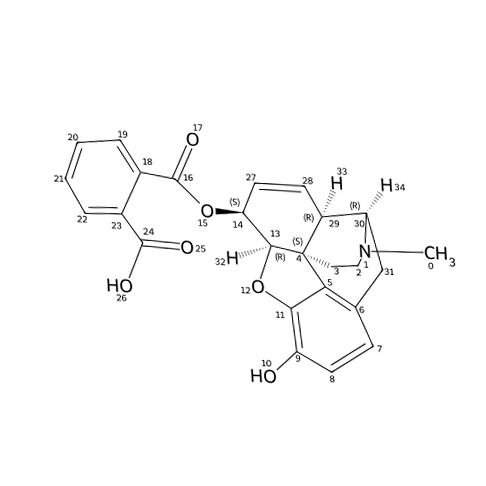 CN1CC[C@]23c4c5ccc(O)c4O[C@H]2[C@@H](OC(=O)c2ccccc2C(=O)O)C=C[C@H]3[C@H]1C5